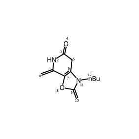 C=C1NC(=O)CC2=C1OC(=C)N2CCCC